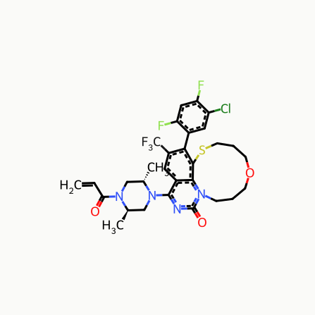 C=CC(=O)N1C[C@H](C)N(c2nc(=O)n3c4c(c(-c5cc(Cl)c(F)cc5F)c(C(F)(F)F)cc24)SCCCOCCC3)C[C@H]1C